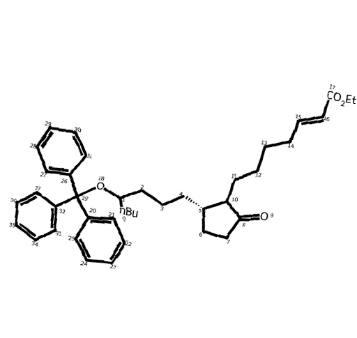 CCCCC(CCC[C@H]1CCC(=O)C1CCCCC=CC(=O)OCC)OC(c1ccccc1)(c1ccccc1)c1ccccc1